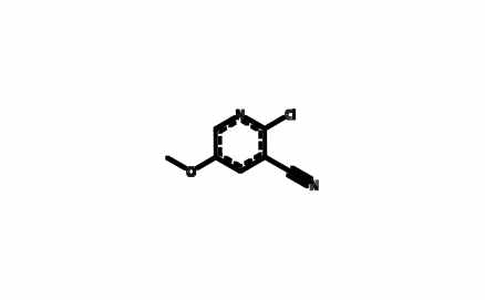 COc1cnc(Cl)c(C#N)c1